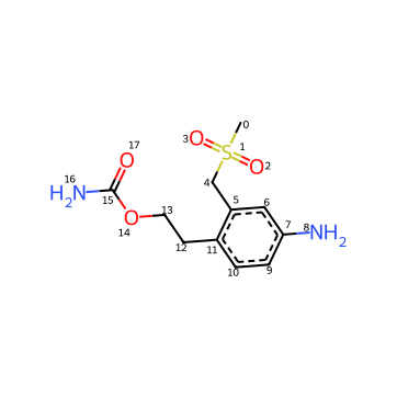 CS(=O)(=O)Cc1cc(N)ccc1CCOC(N)=O